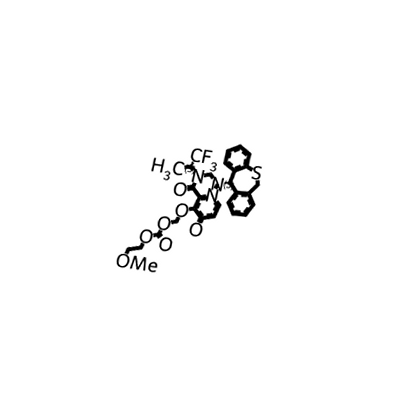 COCCOC(=O)OCOc1c2n(ccc1=O)N([C@H]1c3ccccc3CSc3ccccc31)CN([C@@H](C)C(F)(F)F)C2=O